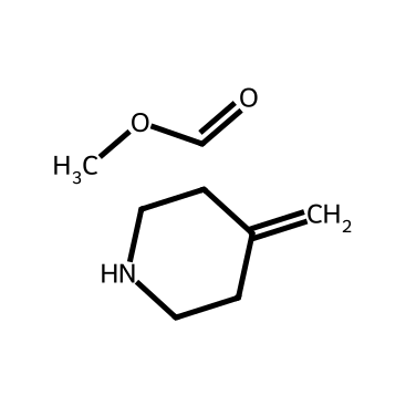 C=C1CCNCC1.COC=O